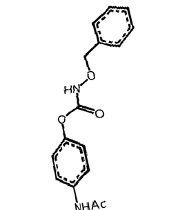 CC(=O)Nc1ccc(OC(=O)NOCc2ccccc2)cc1